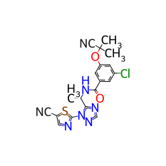 C[C@H](NC(=O)c1cc(Cl)cc(OC(C)(C)C#N)c1)c1ncnn1-c1ncc(C#N)s1